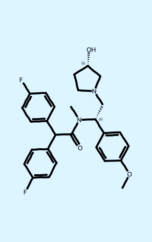 COc1ccc([C@@H](CN2CC[C@H](O)C2)N(C)C(=O)C(c2ccc(F)cc2)c2ccc(F)cc2)cc1